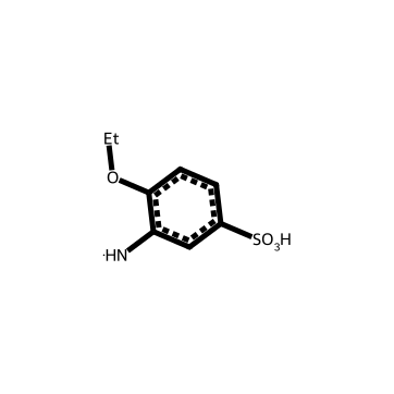 CCOc1ccc(S(=O)(=O)O)cc1[NH]